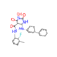 Cc1cccc(CNC(=O)c2c(Nc3ccc(-c4ccccc4)cc3)[nH]c(=O)n(O)c2=O)c1F